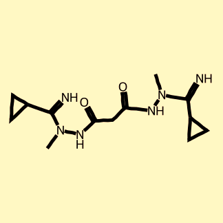 CN(NC(=O)CC(=O)NN(C)C(=N)C1CC1)C(=N)C1CC1